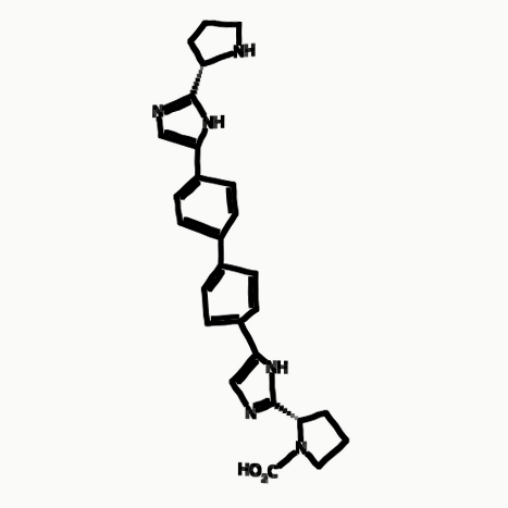 O=C(O)N1CCC[C@H]1c1ncc(-c2ccc(-c3ccc(-c4cnc([C@@H]5CCCN5)[nH]4)cc3)cc2)[nH]1